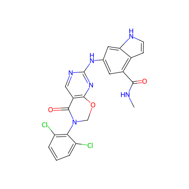 CNC(=O)c1cc(Nc2ncc3c(n2)OCN(c2c(Cl)cccc2Cl)C3=O)cc2[nH]ccc12